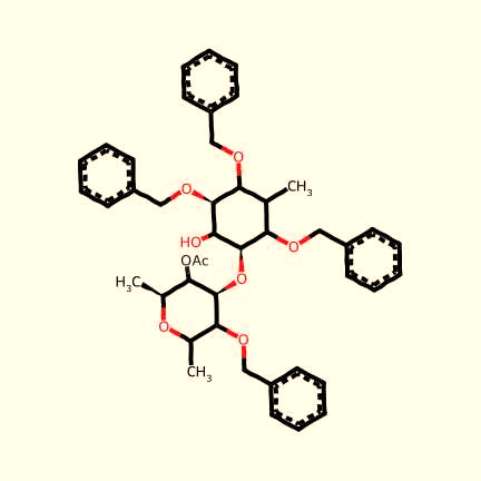 CC(=O)OC1[C@@H](O[C@@H]2C(OCc3ccccc3)C(C)C(OCc3ccccc3)[C@H](OCc3ccccc3)C2O)C(OCc2ccccc2)C(C)O[C@H]1C